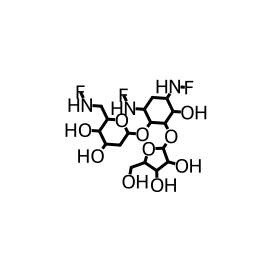 OCC1OC(OC2C(O)C(NF)CC(NF)C2OC2CC(O)C(O)C(CNF)O2)C(O)C1O